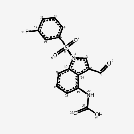 O=Cc1cn(S(=O)(=O)c2cccc(F)c2)c2cccc(NC(=O)O)c12